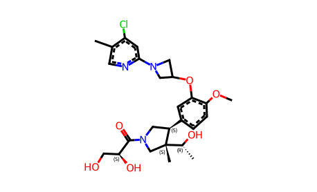 COc1ccc([C@@H]2CN(C(=O)[C@@H](O)CO)C[C@@]2(C)[C@@H](C)O)cc1OC1CN(c2cc(Cl)c(C)cn2)C1